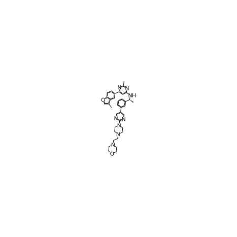 Cc1nc(N[C@@H](C)c2cccc(-c3cnc(N4CCN(CCN5CCOCC5)CC4)nc3)c2)cc(-c2ccc3occ(C)c3c2)n1